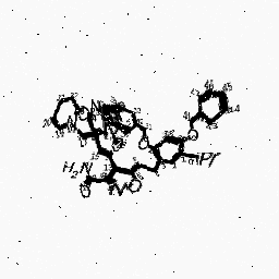 CC(C)c1cc(CCc2onc(C(N)=O)c2C2=CC(CN3CCCCC3)(C(N)=O)NO2)c(OCc2ccccc2)cc1OCc1ccccc1